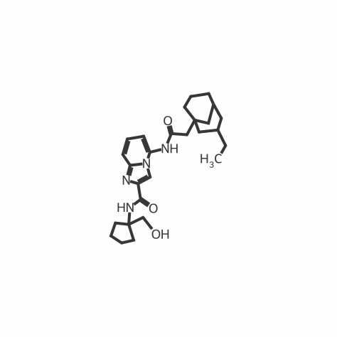 CCC1CC2CCCC(CC(=O)Nc3cccc4nc(C(=O)NC5(CO)CCCC5)cn34)(C1)C2